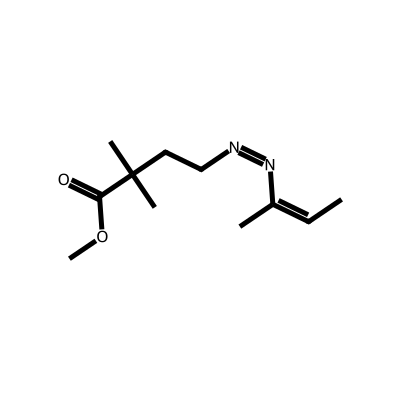 C/C=C(C)\N=N/CCC(C)(C)C(=O)OC